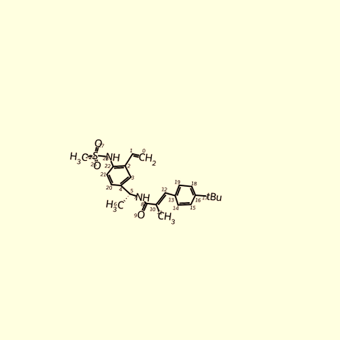 C=Cc1cc([C@@H](C)NC(=O)C(C)=Cc2ccc(C(C)(C)C)cc2)ccc1NS(C)(=O)=O